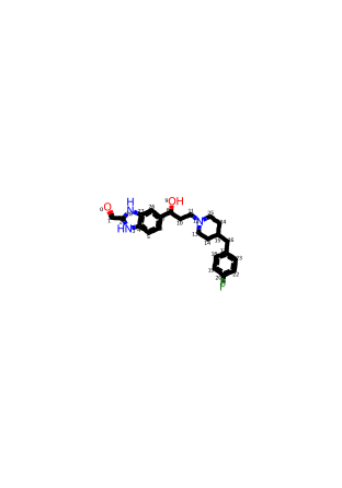 O=CC1Nc2ccc(C(O)CCN3CCC(Cc4ccc(F)cc4)CC3)cc2N1